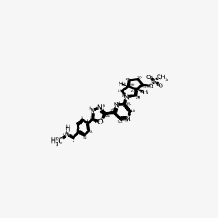 CNCc1ccc(-c2nnc(-c3cncc(N4C[C@@H]5CCC(OS(C)(=O)=O)[C@@H]5C4)n3)o2)cc1